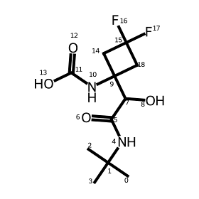 CC(C)(C)NC(=O)C(O)C1(NC(=O)O)CC(F)(F)C1